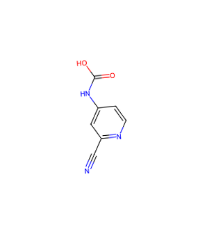 N#Cc1cc(NC(=O)O)ccn1